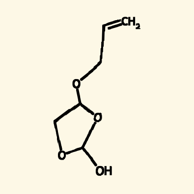 C=CCOC1COC(O)O1